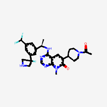 CC(=O)N1CCC(c2cc3c(N[C@H](C)c4cc(C(F)F)cc(C5(F)CNC5)c4)ncnc3n(C)c2=O)CC1